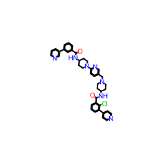 O=C(NC1CCN(c2ccc(CN3CCC(NC(=O)c4cccc(-c5ccncc5)c4Cl)CC3)cn2)CC1)c1cccc(-c2cccnc2)c1